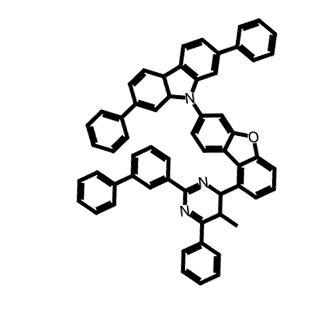 CC1C(c2ccccc2)=NC(c2cccc(-c3ccccc3)c2)=NC1c1cccc2oc3cc(N4c5cc(-c6ccccc6)ccc5C5C=CC(c6ccccc6)=CC54)ccc3c12